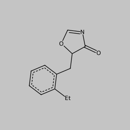 CCc1ccccc1CC1OC=NC1=O